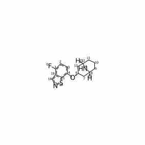 Fc1ccc(O[C@@H]2C[C@H]3CCC[C@@H](C2)N3)c2sncc12